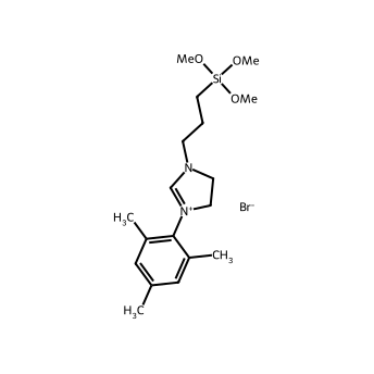 CO[Si](CCCN1C=[N+](c2c(C)cc(C)cc2C)CC1)(OC)OC.[Br-]